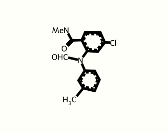 CNC(=O)c1ccc(Cl)cc1N(C=O)c1cccc(C)c1